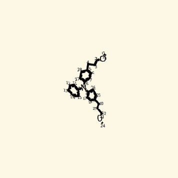 COCCCc1ccc(N(c2ccccc2)c2ccc(CCCOC)cc2)cc1